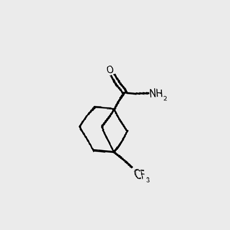 NC(=O)C12CCCC(C(F)(F)F)(C1)C2